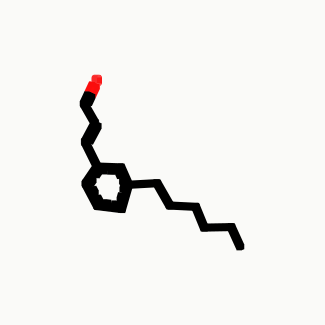 CCCCCCc1cccc(C=CC=O)c1